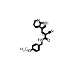 COc1ccc(CNC(=O)/C(C#N)=C/c2c[nH]c3ncccc23)cc1